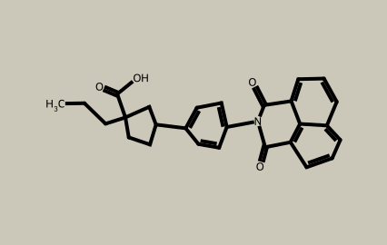 CCCC1(C(=O)O)CCC(c2ccc(N3C(=O)c4cccc5cccc(c45)C3=O)cc2)C1